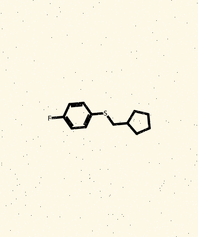 Fc1ccc(SCC2CCCC2)cc1